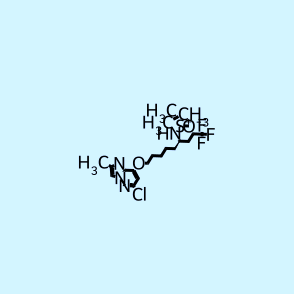 Cc1cn2nc(Cl)cc(OCCCCC[C@H](CCC(F)(F)F)N[S+]([O-])C(C)(C)C)c2n1